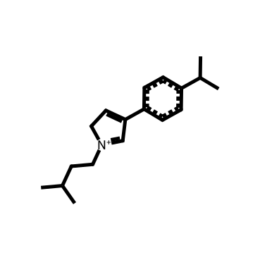 CC(C)CC[N+]1=CC(c2ccc(C(C)C)cc2)=CC1